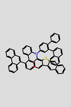 c1ccc(-c2ccc(N(c3ccccc3-c3ccccc3-c3cc4ccccc4c4ccccc34)c3cccc4c3sc3cc5ccccc5cc34)cc2-c2cccc3ccccc23)cc1